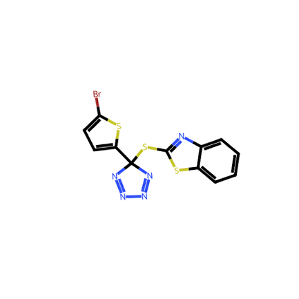 Brc1ccc(C2(Sc3nc4ccccc4s3)N=NN=N2)s1